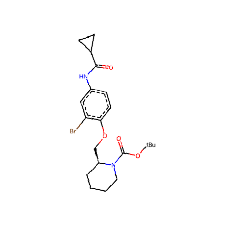 CC(C)(C)OC(=O)N1CCCC[C@H]1COc1ccc(NC(=O)C2CC2)cc1Br